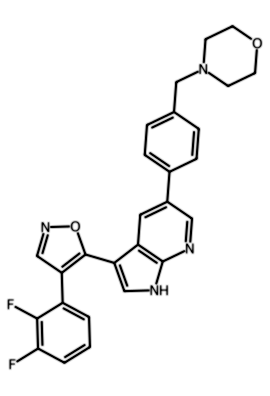 Fc1cccc(-c2cnoc2-c2c[nH]c3ncc(-c4ccc(CN5CCOCC5)cc4)cc23)c1F